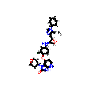 O=c1[nH]c2nccc(Oc3ccc(NC4COC4c4ncn(-c5ccccc5)c4C(F)(F)F)cc3F)c2n1C1CCOCC1